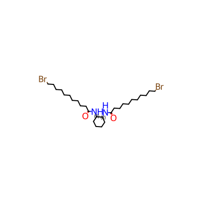 O=C(CCCCCCCCCCBr)N[C@@H]1CCCC[C@H]1NC(=O)CCCCCCCCCCBr